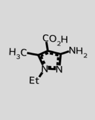 CCn1nc(N)c(C(=O)O)c1C